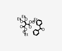 CCOOC(=O)C(C(=O)OOCC)=C(OCC)OCC.O=C(c1ccccc1)c1ccccc1